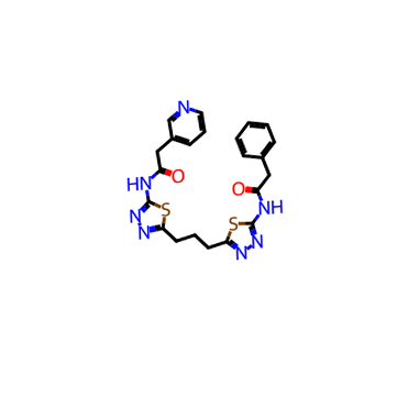 O=C(Cc1ccccc1)Nc1nnc(CCCc2nnc(NC(=O)Cc3cccnc3)s2)s1